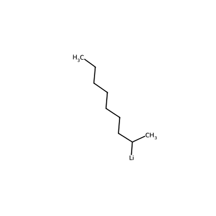 [Li][CH](C)CCCCCCC